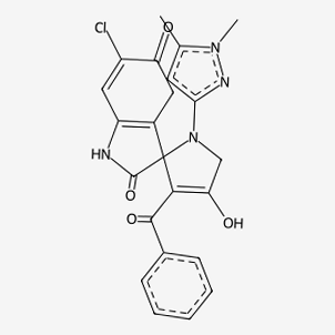 Cc1cc(N2CC(O)=C(C(=O)c3ccccc3)C23C(=O)NC2=C3CC(=O)C(Cl)=C2)nn1C